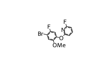 COc1cc(Br)c(F)cc1Oc1cccc(F)n1